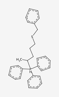 C[C](CCCSCc1ccccc1)[PH](c1ccccc1)(c1ccccc1)c1ccccc1